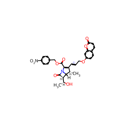 C[C@@H](O)[C@H]1C(=O)N2C(C(=O)OCc3ccc([N+](=O)[O-])cc3)=C(/C=C/COc3ccc4ccc(=O)oc4c3)[C@H](C)[C@H]12